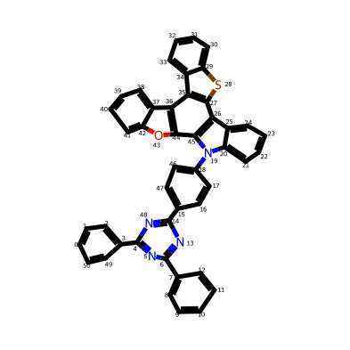 c1ccc(-c2nc(-c3ccccc3)nc(-c3ccc(-n4c5ccccc5c5c6sc7ccccc7c6c6c7ccccc7oc6c54)cc3)n2)cc1